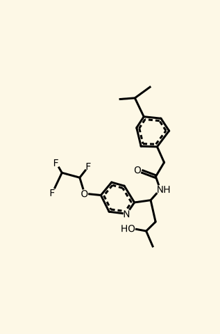 CC(O)CC(NC(=O)Cc1ccc(C(C)C)cc1)c1ccc(OC(F)C(F)F)cn1